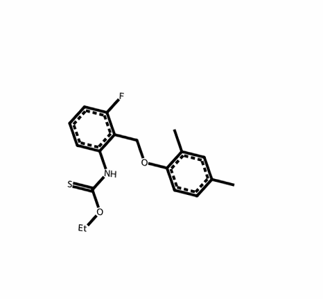 CCOC(=S)Nc1cccc(F)c1COc1ccc(C)cc1C